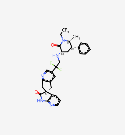 C[C@@H]1[C@H](c2ccccc2)C[C@H](NCC(F)(F)c2cnc3c(c2)C[C@@]2(C3)C(=O)Nc3ncccc32)C(=O)N1CC(F)(F)F